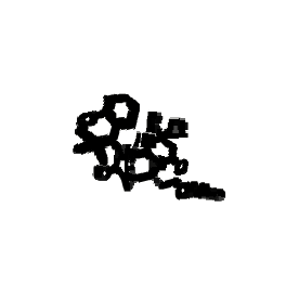 CCC1(CC)CC(=O)N([C@H](CCOC)[C@@H]2C[C@H]2C(=O)N[C@@H]2c3ccccc3OCC2(C)C)C(=N)N1